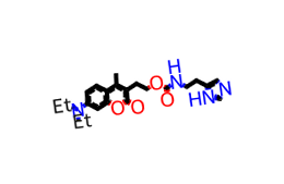 CCN(CC)c1ccc2c(C)c(CCOC(=O)NCCc3cnc[nH]3)c(=O)oc2c1